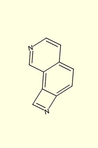 C1=Nc2ccc3ccncc3c21